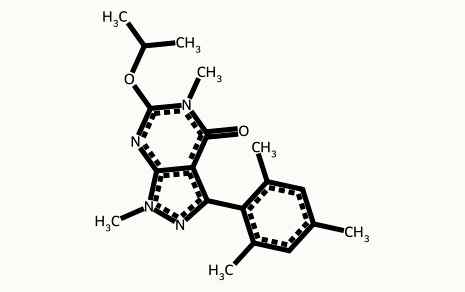 Cc1cc(C)c(-c2nn(C)c3nc(OC(C)C)n(C)c(=O)c23)c(C)c1